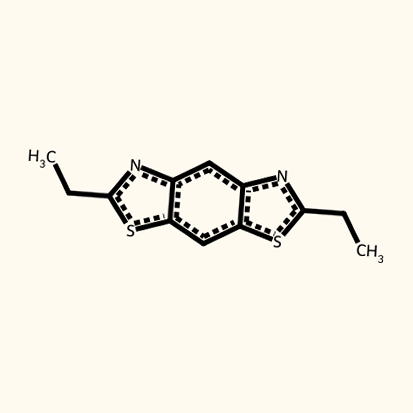 CCc1nc2cc3nc(CC)sc3cc2s1